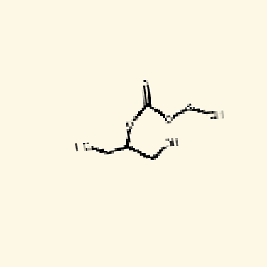 O=C(OSO)OC(CO)CO